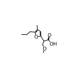 CCCc1oc(C(COC)C(=O)O)cc1C